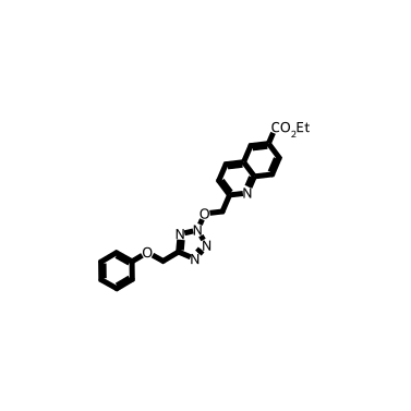 CCOC(=O)c1ccc2nc(COn3nnc(COc4ccccc4)n3)ccc2c1